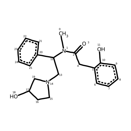 CN(C(=O)Cc1ccccc1O)C(CN1CCC(O)C1)c1ccccc1